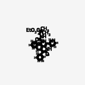 CCOC(=O)C(C)(C)CNC(=O)c1nc(-c2cccnc2)c2[nH]c(=O)c(-c3ccccc3)c(Cc3ccccc3)c2c1O